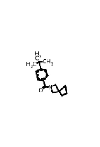 CC(C)(C)c1ccc(C(=O)N2CC3(CCC3)C2)cc1